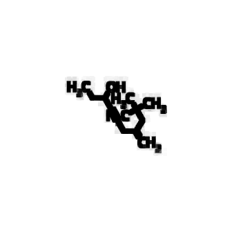 C=C(CC#CC(O)CC)CC(C)(C)C